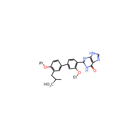 CCOc1cc(-c2ccc(OC(C)C)c(CC(C)C(=O)O)c2)ccc1-c1nc2[nH]cnc2c(=O)[nH]1